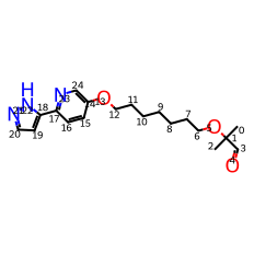 CC(C)(C=O)OCCCCCCCOc1ccc(-c2ccn[nH]2)nc1